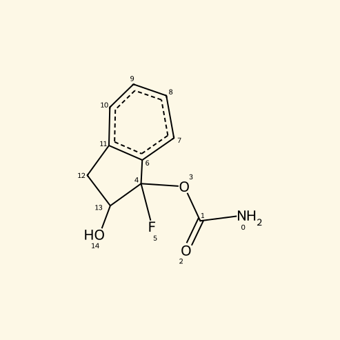 NC(=O)OC1(F)c2ccccc2CC1O